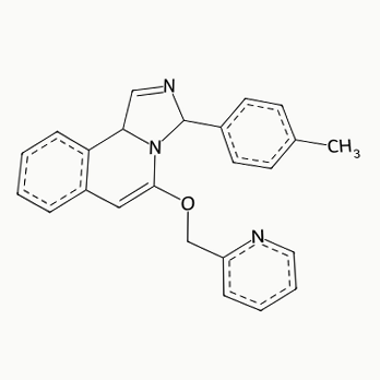 Cc1ccc(C2N=CC3c4ccccc4C=C(OCc4ccccn4)N32)cc1